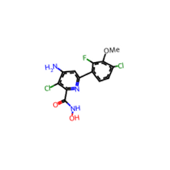 COc1c(Cl)ccc(-c2cc(N)c(Cl)c(C(=O)NO)n2)c1F